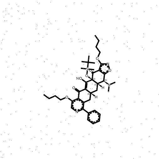 CCCCOc1cnc(-c2ccccc2)c2c1C(=O)C1=C(O)[C@]3(O[Si](C)(C)C(C)(C)C)C(=O)c4c(OCCCC)noc4[C@@H](N(C)C)[C@@H]3C[C@@H]1C2